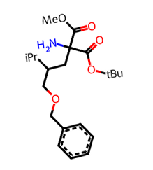 COC(=O)C(N)(CC(COCc1ccccc1)C(C)C)C(=O)OC(C)(C)C